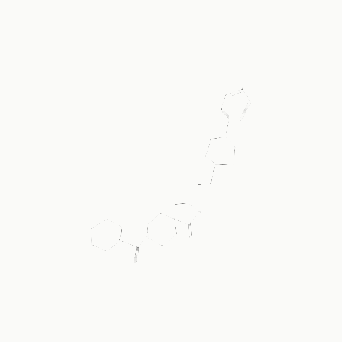 O=C(N1CCCCC1)N1CCC2(CC1)C[C@H](CCN1CCN(c3ccc(F)cc3)CC1)NC2=O